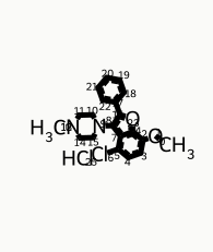 COc1ccc(Cl)c2c(N3CCN(C)CC3)c(-c3ccccc3)oc12.Cl